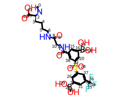 C=N[C@@H](CCCCNC(=O)CNC(=O)c1cc(B(O)O)cc(S(=O)(=O)c2cc(B(O)O)cc(C(F)(F)F)c2)c1)C(=O)O